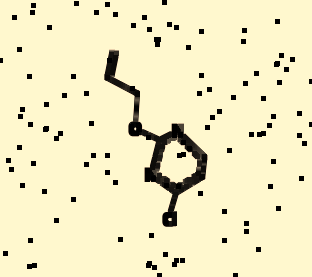 C=CCOc1nccc(Cl)n1